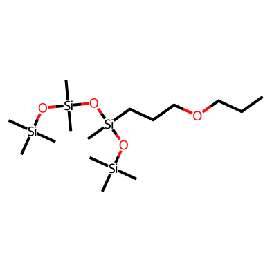 CCCOCCC[Si](C)(O[Si](C)(C)C)O[Si](C)(C)O[Si](C)(C)C